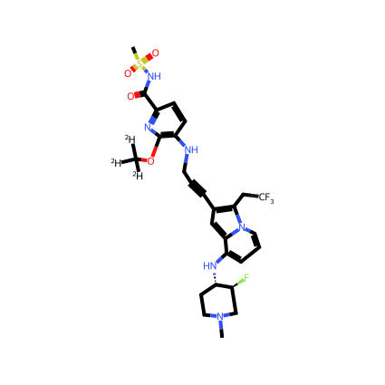 [2H]C([2H])([2H])Oc1nc(C(=O)NS(C)(=O)=O)ccc1NCC#Cc1cc2c(N[C@H]3CCN(C)C[C@@H]3F)cccn2c1CC(F)(F)F